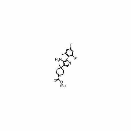 Cc1cc(F)cc(Br)c1-n1ncc(C2(C)CCN(C(=O)OC(C)(C)C)CC2)c1N